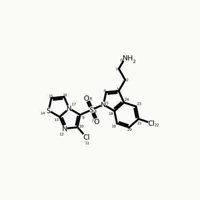 NCCc1cn(S(=O)(=O)c2c(Cl)nc3sccn23)c2ccc(Cl)cc12